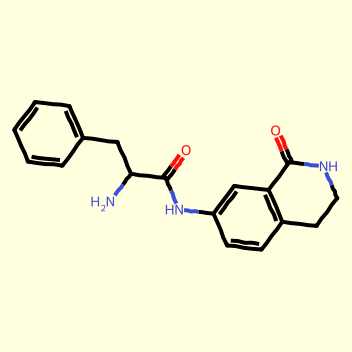 NC(Cc1ccccc1)C(=O)Nc1ccc2c(c1)C(=O)NCC2